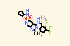 Cc1nc(N[C@H](C)c2cccc(C(F)F)c2F)c2cc(S(=O)(=O)NC3CCCC3)ncc2n1